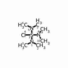 CN(C)S(Cl)(N(C)C)N(C)C